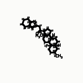 C[C@H]1CC[C@]2(F)C3CC[C@@]4(C)C(CC[C@@H]4C(=O)Cn4cc5c(n4)CCCC5)[C@@H]3CC[C@@H]2C1